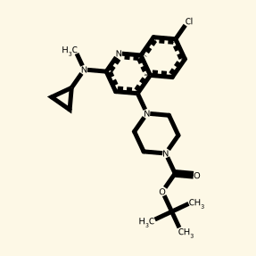 CN(c1cc(N2CCN(C(=O)OC(C)(C)C)CC2)c2ccc(Cl)cc2n1)C1CC1